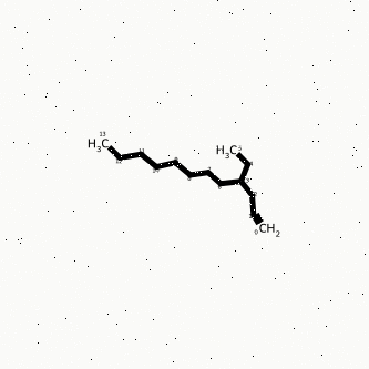 C=CCC(CC)CCCCCCCC